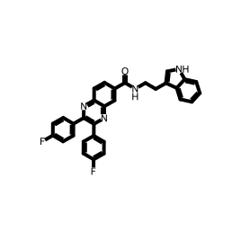 O=C(NCCc1c[nH]c2ccccc12)c1ccc2nc(-c3ccc(F)cc3)c(-c3ccc(F)cc3)nc2c1